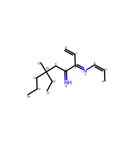 C=C/C(=N\C=C/C)C(=N)CC(C)(CC)CCC